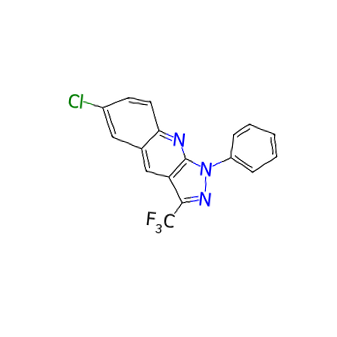 FC(F)(F)c1nn(-c2ccccc2)c2nc3ccc(Cl)cc3cc12